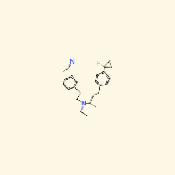 CC#N.CCN(CCc1ccccc1)C(C)CCc1ccc(C2(F)CC2)cc1